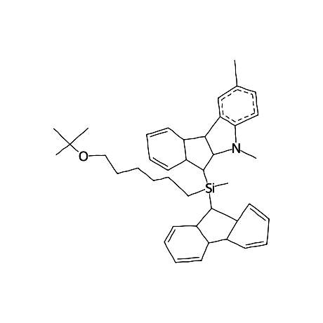 Cc1ccc2c(c1)C1C3C=CC=CC3C([Si](C)(CCCCCCOC(C)(C)C)C3C4C=CC=CC4C4C=CC=CC43)C1N2C